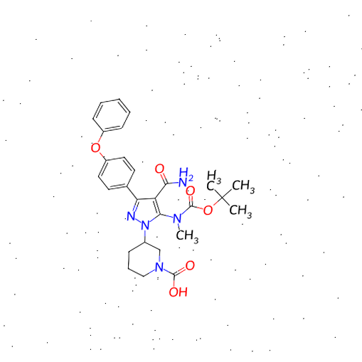 CN(C(=O)OC(C)(C)C)c1c(C(N)=O)c(-c2ccc(Oc3ccccc3)cc2)nn1C1CCCN(C(=O)O)C1